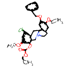 CCOC(=O)Oc1c(OC)cc(Cl)c2c1CN1CCc3cc(OC)c(OCc4ccccc4)cc3C1C2